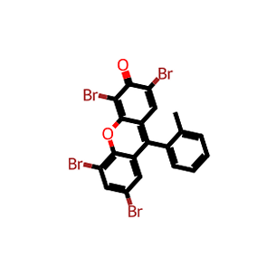 Cc1ccccc1-c1c2cc(Br)c(=O)c(Br)c-2oc2c(Br)cc(Br)cc12